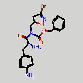 Nc1ccc(C[C@H](N)C(=O)N(CC2CC(Br)=NO2)C(=O)OCc2ccccc2)cc1